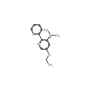 CCOc1cnc(-c2ccccn2)c([SiH](C)C)c1